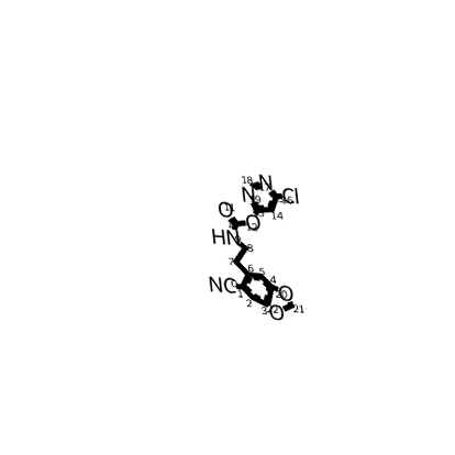 N#Cc1cc2c(cc1CCNC(=O)Oc1cc(Cl)ncn1)OCO2